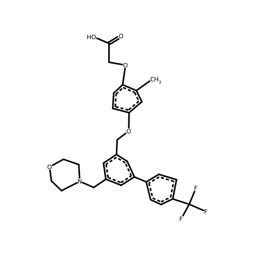 Cc1cc(OCc2cc(CN3CCOCC3)cc(-c3ccc(C(F)(F)F)cc3)c2)ccc1OCC(=O)O